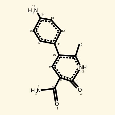 Cc1[nH]c(=O)c(C(N)=O)cc1-c1ccc(N)cc1